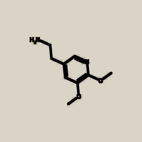 COc1cc(CCN)cnc1OC